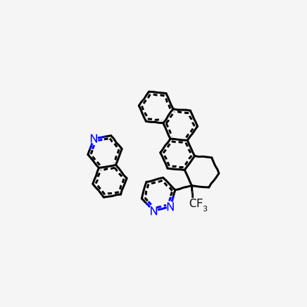 FC(F)(F)C1(c2cccnn2)CCCc2c1ccc1c2ccc2ccccc21.c1ccc2cnccc2c1